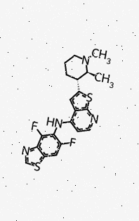 C[C@H]1[C@H](c2cc3c(Nc4c(F)cc5scnc5c4F)ccnc3s2)CCCN1C